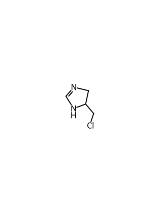 ClCC1CN=CN1